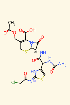 CC(=O)OCC1=C(C(=O)O)N2C(=O)[C@H](NC(=O)C(NC(N)=O)c3cs/c(=N/C(=O)CCl)[nH]3)C2SC1